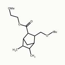 COCCOC(=O)C1C2CC(C(C)C2C)C1COC(C)(C)C